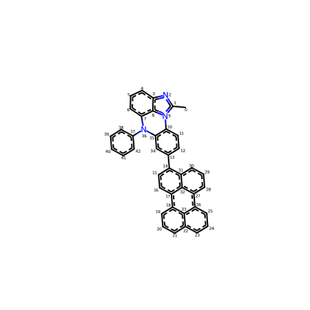 Cc1nc2cccc3c2n1-c1ccc(-c2ccc4c5cccc6cccc(c7cccc2c74)c65)cc1N3c1ccccc1